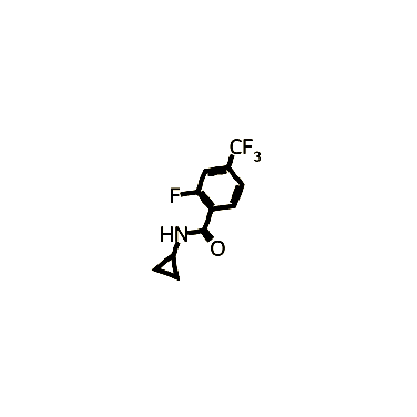 O=C(NC1CC1)c1ccc(C(F)(F)F)cc1F